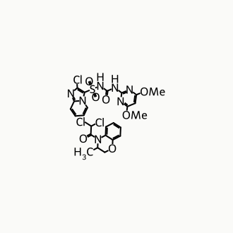 CC1COc2ccccc2N1C(=O)C(Cl)Cl.COc1cc(OC)nc(NC(=O)NS(=O)(=O)c2c(Cl)nc3ccccn23)n1